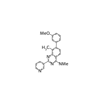 CNc1nc(-c2cccnc2)nc2c(C)c(-c3cccc(OC)c3)ccc12